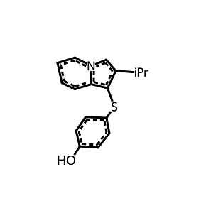 CC(C)c1cn2ccccc2c1Sc1ccc(O)cc1